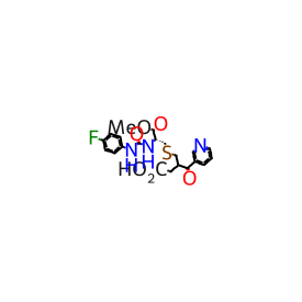 COC(=O)[C@H](CSCC(CC(=O)O)C(=O)c1cccnc1)NC(=O)Nc1ccc(F)cc1